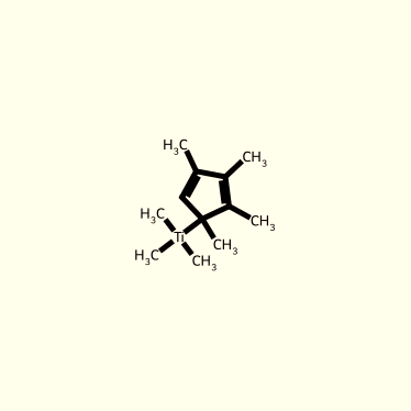 CC1=C[C](C)([Ti]([CH3])([CH3])[CH3])C(C)=C1C